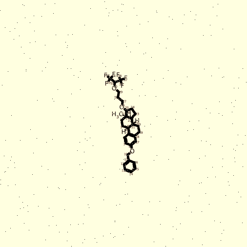 C[C@]12CC[C@@H]3c4ccc(OCc5ccccc5)cc4CC[C@H]3[C@@H]1CCC2OCCCOC(C(F)(F)F)C(F)(F)F